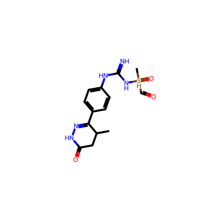 CC1CC(=O)NN=C1c1ccc(NC(=N)N[SH](C)(=O)C=O)cc1